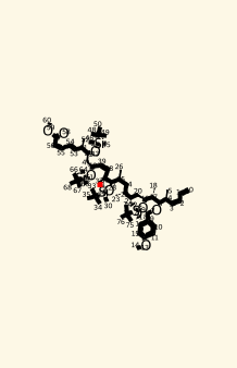 C=C/C=C\[C@H](C)[C@H](OCc1ccc(OC)cc1)[C@@H](C)[C@H](CC[C@H](C)C[C@H](C)[C@@H](O[Si](C)(C)C(C)(C)C)[C@@H](C)/C=C\[C@H](C[C@H](O[Si](C)(C)C(C)(C)C)[C@H](C)/C=C/C=C\C(=O)OC)O[Si](C)(C)C(C)(C)C)O[Si](C)(C)C(C)(C)C